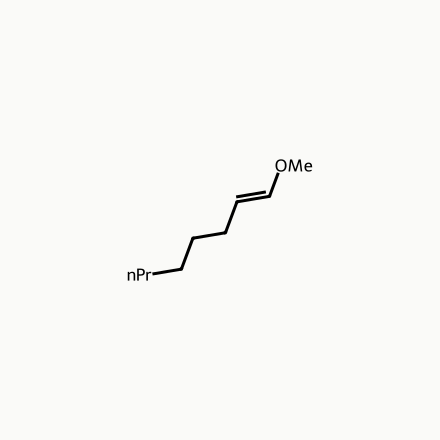 [CH2]O/C=C/CCCCCC